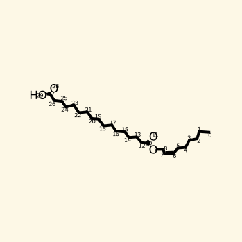 CCCCCC/C=C\COC(=O)CCCCCCCCCCCCCCCC(=O)O